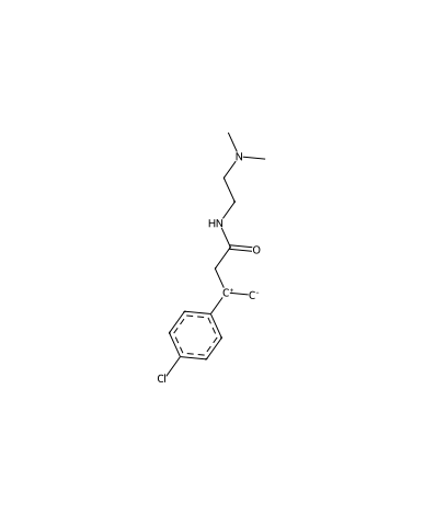 [CH2-][C+](CC(=O)NCCN(C)C)c1ccc(Cl)cc1